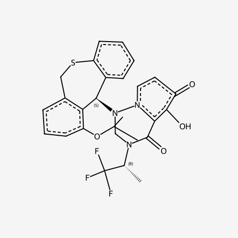 CC(C)Oc1cccc2c1[C@H](N1CN([C@H](C)C(F)(F)F)C(=O)c3c(O)c(=O)ccn31)c1ccccc1SC2